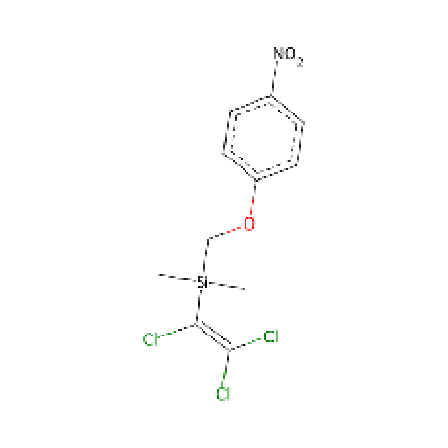 C[Si](C)(COc1ccc([N+](=O)[O-])cc1)C(Cl)=C(Cl)Cl